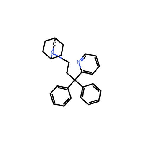 c1ccc(C(CCN2CC3CCC2CC3)(c2ccccc2)c2ccccn2)cc1